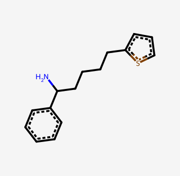 NC(CCCCc1cccs1)c1ccccc1